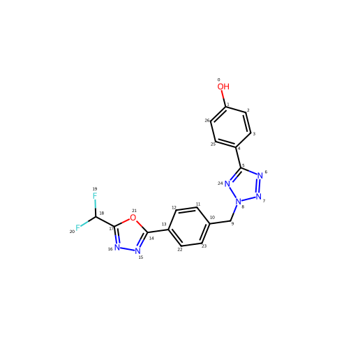 Oc1ccc(-c2nnn(Cc3ccc(-c4nnc(C(F)F)o4)cc3)n2)cc1